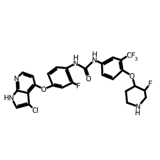 O=C(Nc1ccc(OC2CCNCC2F)c(C(F)(F)F)c1)Nc1ccc(Oc2ccnc3[nH]cc(Cl)c23)cc1F